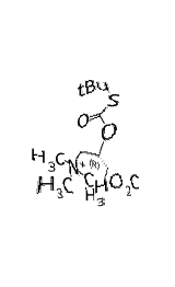 CC(C)(C)SC(=O)O[C@H](CC(=O)O)C[N+](C)(C)C